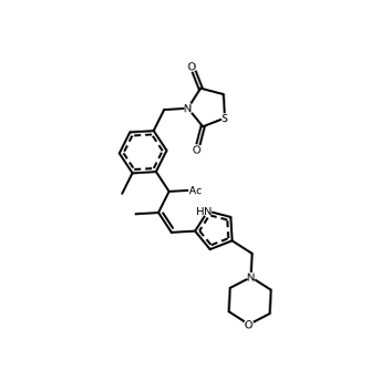 CC(=O)C(/C(C)=C\c1cc(CN2CCOCC2)c[nH]1)c1cc(CN2C(=O)CSC2=O)ccc1C